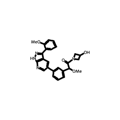 COc1ccccc1-c1n[nH]c2ncc(-c3cccc(C(OC)C(=O)N4CC(O)C4)c3)cc12